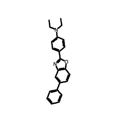 CCN(CC)c1ccc(-c2nc3cc(-c4ccccc4)ccc3o2)cc1